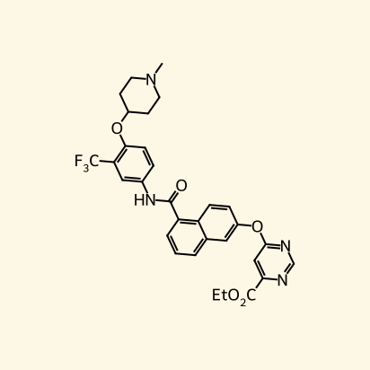 CCOC(=O)c1cc(Oc2ccc3c(C(=O)Nc4ccc(OC5CCN(C)CC5)c(C(F)(F)F)c4)cccc3c2)ncn1